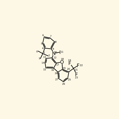 CC(C)(C)c1ccccc1N(I)c1cccc2c1oc1c(C(F)(F)F)cccc12